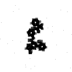 O=C(Nc1cccc(CNc2cc(-c3ccccc3Cl)nc3c(Br)cnn23)c1)C1(c2ccccc2)CC1